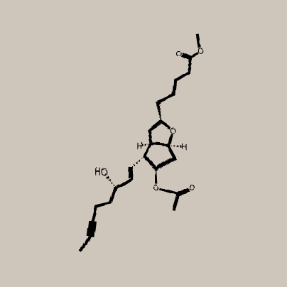 CC#CCC[C@H](O)/C=C/[C@@H]1[C@H]2C[C@@H](CCCCC(=O)OC)O[C@H]2C[C@H]1OC(C)=O